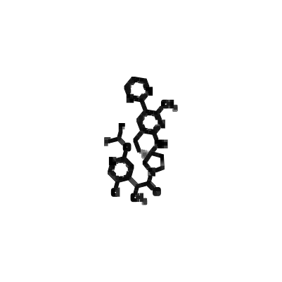 Cc1nc2c(cc1-c1ncccn1)CC[C@@]1(CCN(C(=O)C(C)c3cc(OC(F)F)ncc3Cl)C1)N2